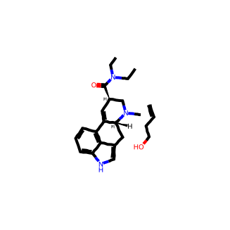 C=CCCO.CCN(CC)C(=O)[C@@H]1C=C2c3cccc4[nH]cc(c34)C[C@H]2N(C)C1